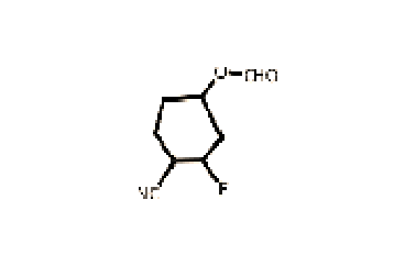 N#CC1CCC(OC=O)CC1F